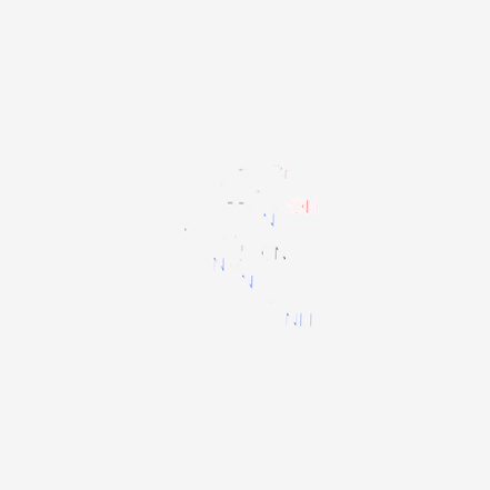 CC1(C)CCc2c(nc(N3CCC4(CNC4)C3)c(C#N)c2-c2nc(O)c(Br)c3ccccc23)C1